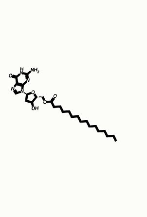 CCCCCCCCCCCCCCCC(=O)OC[C@H]1O[C@@H](n2cnc3c(=O)[nH]c(N)nc32)CC1O